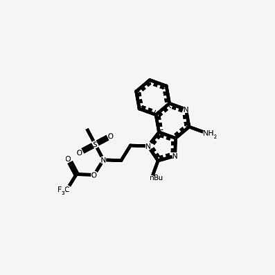 CCCCc1nc2c(N)nc3ccccc3c2n1CCN(OC(=O)C(F)(F)F)S(C)(=O)=O